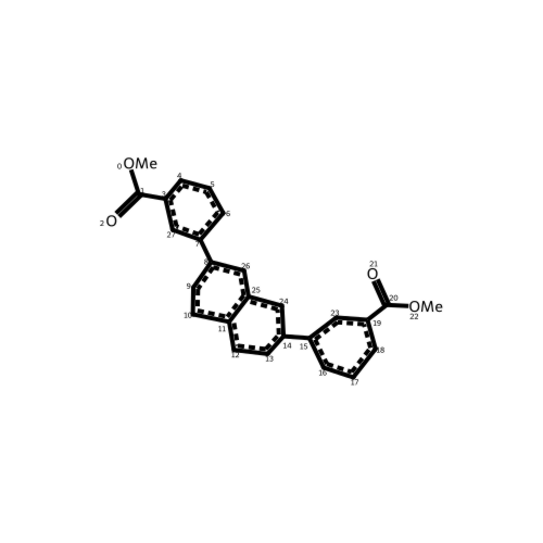 COC(=O)c1cccc(-c2ccc3ccc(-c4cccc(C(=O)OC)c4)cc3c2)c1